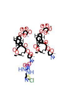 CC[C@H]1CCC[C@H](O[C@H]2CC[C@H](N(C)C)[C@@H](C)O2)[C@@H](C)C(=O)C2=C[C@@H]3[C@@H](C=C(C)[C@@H]4C[C@@H](O[C@@H]5O[C@@H](C)[C@H](OC)[C@@H](OC)[C@H]5OC)C[C@@H]34)[C@@H]2CC(=O)O1.CC[C@H]1CCC[C@H](O[C@H]2CC[C@H](N(C)C)[C@@H](C)O2)[C@@H](C)C(=O)C2=C[C@@H]3[C@@H](C=C[C@@H]4C[C@@H](O[C@@H]5O[C@@H](C)[C@H](OC)[C@@H](OC)[C@H]5OC)C[C@@H]34)[C@@H]2CC(=O)O1.CN/C(=N\[N+](=O)[O-])NCc1cnc(Cl)s1